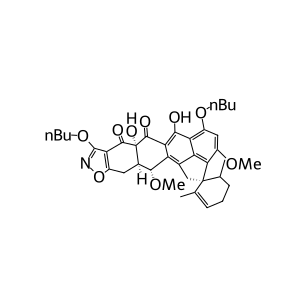 CCCCOc1noc2c1C(=O)[C@@]1(O)C(=O)c3c(c4c5c(c(OC)cc(OCCCC)c5c3O)[C@]3(C4)C(C)=CCCC3C)[C@H](OC)[C@H]1C2